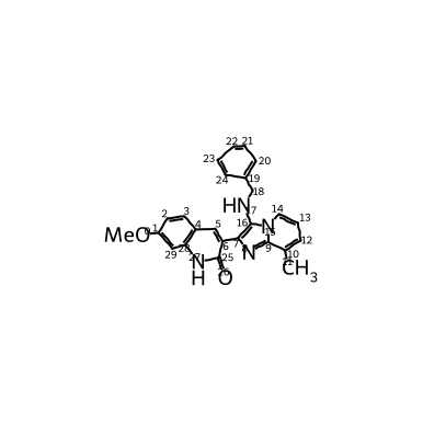 COc1ccc2cc(-c3nc4c(C)cccn4c3NCc3ccccc3)c(=O)[nH]c2c1